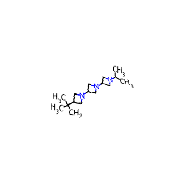 CC(C)N1CC(N2CC(N3CC(C(C)(C)C)C3)C2)C1